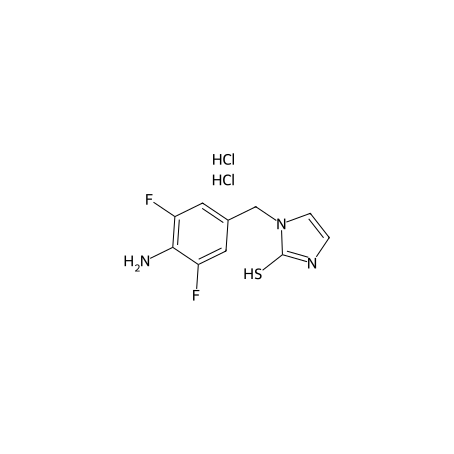 Cl.Cl.Nc1c(F)cc(Cn2ccnc2S)cc1F